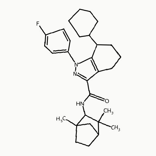 CC12CCC(C1)C(C)(C)C2NC(=O)c1nn(-c2ccc(F)cc2)c2c1CCCC2C1CCCCC1